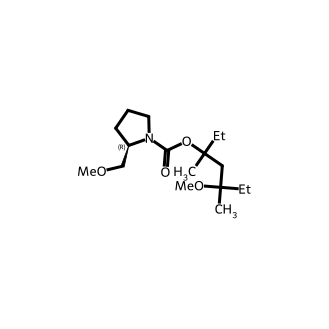 CCC(C)(CC(C)(CC)OC(=O)N1CCC[C@@H]1COC)OC